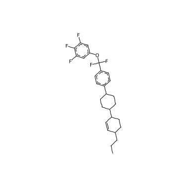 CCCC1C=CC(C2CCC(c3ccc(C(F)(F)Oc4cc(F)c(F)c(F)c4)cc3)CC2)CC1